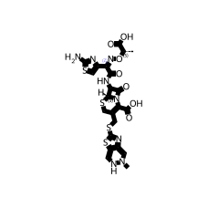 C[C@H](O/N=C(\C(=O)NC1C(=O)N2C(C(=O)O)=C(CSc3nc4c(s3)=CNN(C)C=4)CS[C@@H]12)c1csc(N)n1)C(=O)O